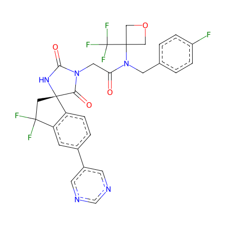 O=C1N[C@]2(CC(F)(F)c3cc(-c4cncnc4)ccc32)C(=O)N1CC(=O)N(Cc1ccc(F)cc1)C1(C(F)(F)F)COC1